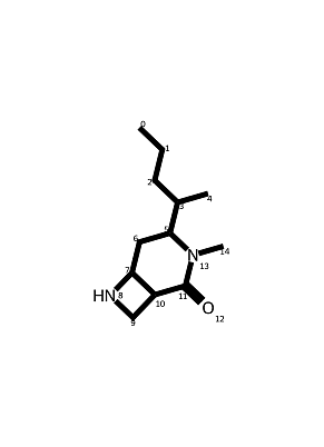 CCCC(C)C1CC2NCC2C(=O)N1C